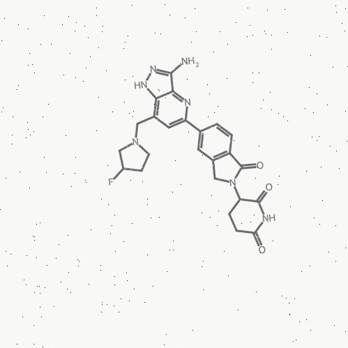 Nc1n[nH]c2c(CN3CCC(F)C3)cc(-c3ccc4c(c3)CN(C3CCC(=O)NC3=O)C4=O)nc12